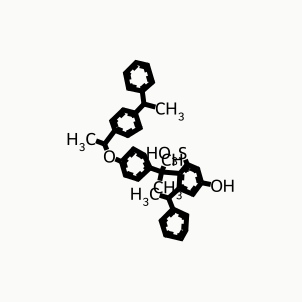 CC(Oc1ccc(C(C)(C)c2c(C(C)c3ccccc3)cc(O)cc2S(=O)(=O)O)cc1)c1ccc(C(C)c2ccccc2)cc1